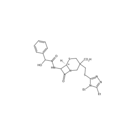 CCc1nnc(SCC2(C(=O)O)CS[C@@H]3C(NC(=O)C(O)c4ccccc4)C(=O)N3C2)n1CC